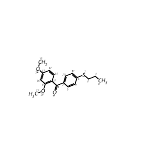 CCCSc1ccc(C(=O)c2ccc(OC)cc2OC)cc1